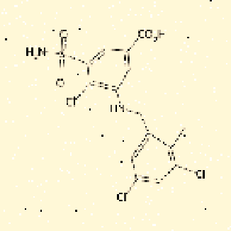 Cc1c(Cl)cc(Cl)cc1CNc1cc(C(=O)O)cc(S(N)(=O)=O)c1Cl